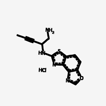 CC#CC(CN)Nc1nc2c(ccc3ocnc32)s1.Cl